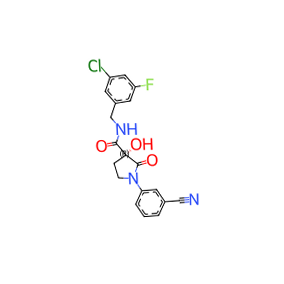 N#Cc1cccc(N2CC[C@@](O)(C(=O)NCc3cc(F)cc(Cl)c3)C2=O)c1